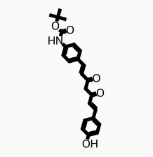 CC(C)(C)OC(=O)Nc1ccc(C=CC(=O)CC(=O)C=Cc2ccc(O)cc2)cc1